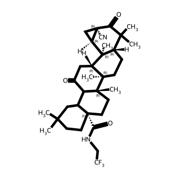 CC1(C)CC[C@]2(C(=O)NCC(F)(F)F)CC[C@]3(C)C(C(=O)C[C@@H]4[C@@]5(C)[C@H]6C[C@@]6(C#N)C(=O)C(C)(C)[C@@H]5CC[C@]43C)C2C1